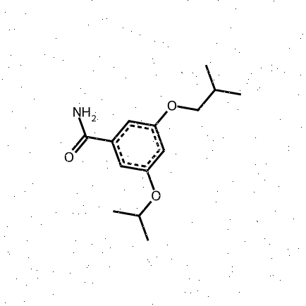 CC(C)COc1cc(OC(C)C)cc(C(N)=O)c1